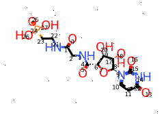 O=C(CNC(=O)[C@H]1O[C@@H](n2ccc(=O)[nH]c2=O)[C@@H](O)[C@H]1O)NCCP(=O)(O)O